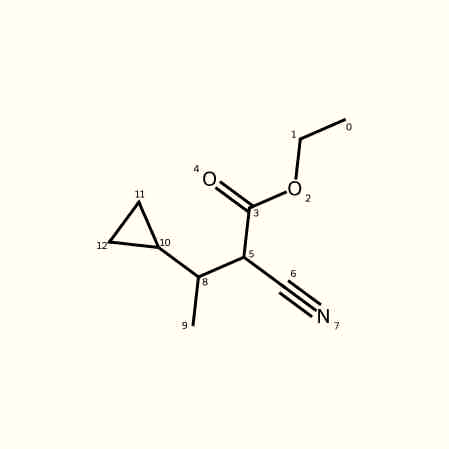 CCOC(=O)C(C#N)C(C)C1CC1